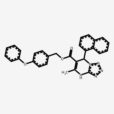 CC1=C(C(=O)OCc2ccc(Oc3ccccc3)cc2)C(c2cccc3ccccc23)n2nnnc2N1